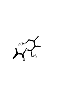 C=C(C)C(=O)OC(N)C(C)C(C)CCCCCCCCC